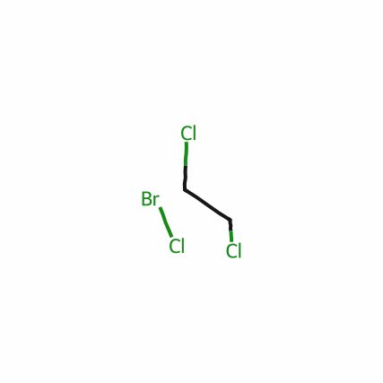 ClBr.ClCCCl